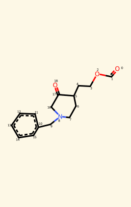 O=COCCC1CCN(Cc2ccccc2)CC1=O